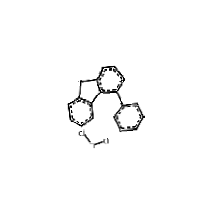 [CH]1c2ccccc2-c2c1cccc2-c1ccccc1.[Cl][Ti][Cl]